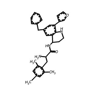 Cc1cc(C)c(CC(N)C(=O)NC2CCNc3c(-c4ccoc4)cc(Cc4ccccc4)cc32)c(C)c1